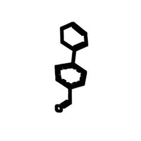 O=Cc1ccc(C2=CC=CCC2)cc1